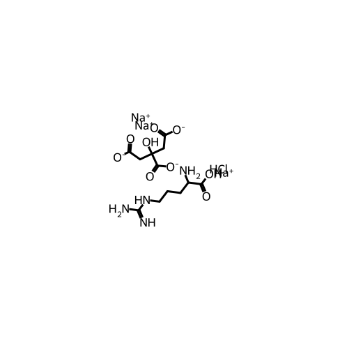 Cl.N=C(N)NCCCC(N)C(=O)O.O=C([O-])CC(O)(CC(=O)[O-])C(=O)[O-].[Na+].[Na+].[Na+]